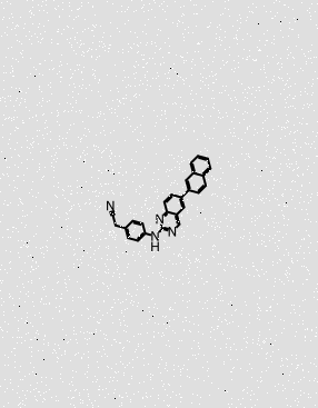 N#CCc1ccc(Nc2ncc3cc(-c4ccc5ccccc5c4)ccc3n2)cc1